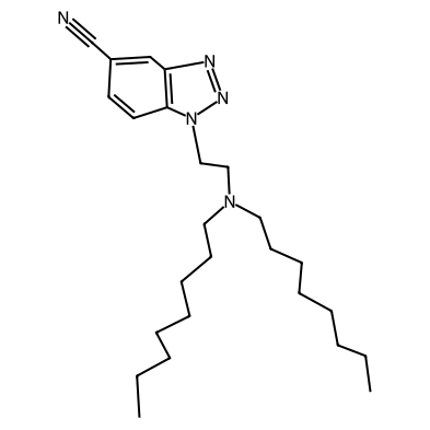 CCCCCCCCN(CCCCCCCC)CCn1nnc2cc(C#N)ccc21